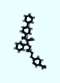 N#Cc1ccc(CCNCC(C(=O)Nc2ccc(-c3ccccc3)cn2)c2ccccc2)cc1